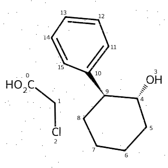 O=C(O)CCl.O[C@@H]1CCCC[C@H]1c1ccccc1